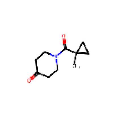 CC1(C(=O)N2CCC(=O)CC2)CC1